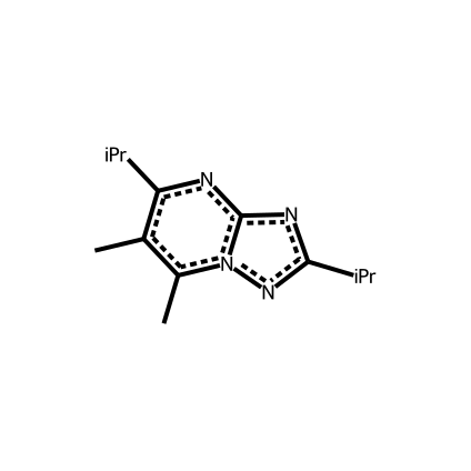 Cc1c(C(C)C)nc2nc(C(C)C)nn2c1C